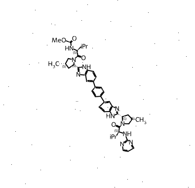 COC(=O)N[C@H](C(=O)N1C[C@@H](C)C[C@H]1c1nc2cc(-c3ccc(-c4ccc5[nH]c([C@@H]6C[C@H](C)CN6C(=O)[C@@H](Nc6ncccn6)C(C)C)nc5c4)cc3)ccc2[nH]1)C(C)C